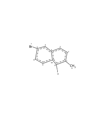 Cc1ccc2cc(Br)ccc2c1I